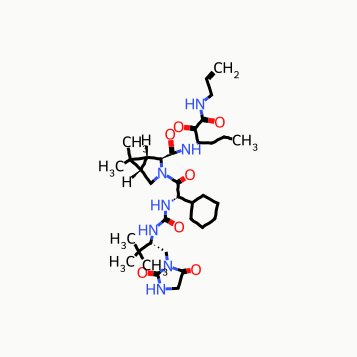 C=CCNC(=O)C(=O)C(CCC)NC(=O)[C@@H]1[C@@H]2[C@H](CN1C(=O)[C@@H](NC(=O)N[C@H](CN1C(=O)CNC1=O)C(C)(C)C)C1CCCCC1)C2(C)C